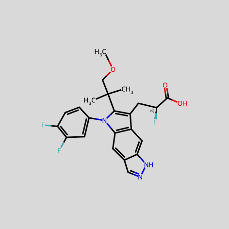 COCC(C)(C)c1c(C[C@H](F)C(=O)O)c2cc3[nH]ncc3cc2n1-c1ccc(F)c(F)c1